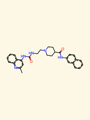 Cc1cc(NC(=O)NCCN2CCC(C(=O)Nc3ccc4ccccc4c3)CC2)c2ccccc2n1